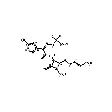 CC(C)(ON=C(C(=O)NC1C(=O)N(S(=O)(=O)O)C1CON=CC(=O)O)c1csc(N)n1)C(=O)O